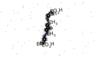 CCOC(Cc1ccc(OC/C=C(\C)c2ccc3c(c2)C(=O)c2cc(/C(C)=C/COc4ccc(CC(OCC)C(=O)O)cc4)ccc2-3)cc1)C(=O)O